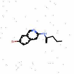 C=C(CCC)Nc1cc2ccc(Br)cc2cn1